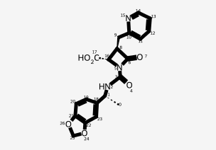 C[C@@H](NC(=O)N1C(=O)[C@H](Cc2ccccn2)[C@H]1C(=O)O)c1ccc2c(c1)OCO2